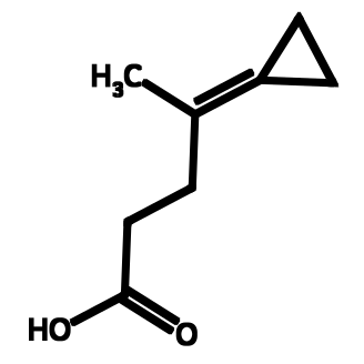 CC(CCC(=O)O)=C1CC1